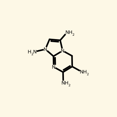 NC1=CN(N)C2=NC(N)=C(N)CN12